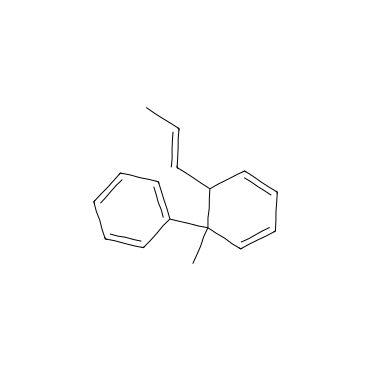 CC=CC1C=CC=CC1(C)c1ccccc1